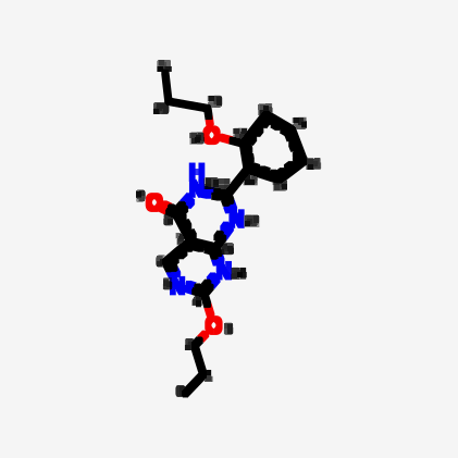 CCCOc1ncc2c(=O)[nH]c(-c3ccccc3OCCC)nc2n1